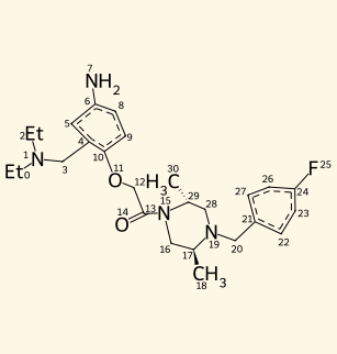 CCN(CC)Cc1cc(N)ccc1OCC(=O)N1C[C@H](C)N(Cc2ccc(F)cc2)C[C@H]1C